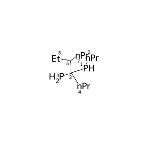 CCCPC(P)(CCC)C(CC)CCC